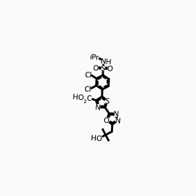 CC(C)NS(=O)(=O)c1ccc(-c2sc(-c3nnc(CC(C)(C)O)o3)nc2C(=O)O)c(Cl)c1Cl